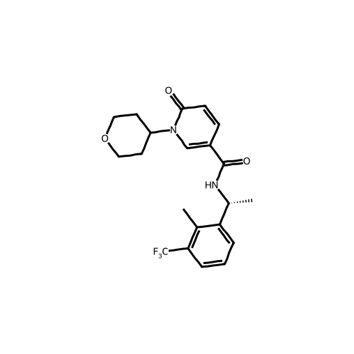 Cc1c([C@@H](C)NC(=O)c2ccc(=O)n(C3CCOCC3)c2)cccc1C(F)(F)F